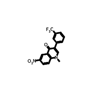 Cn1cc(-c2cccc(C(F)(F)F)c2)c(=O)c2cc([N+](=O)[O-])ccc21